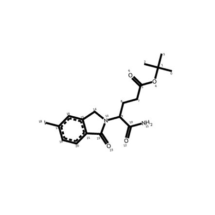 CC(C)(C)OC(=O)CCC(C(N)=O)N1Cc2cc(I)ccc2C1=O